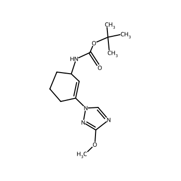 COc1ncn(C2=CC(NC(=O)OC(C)(C)C)CCC2)n1